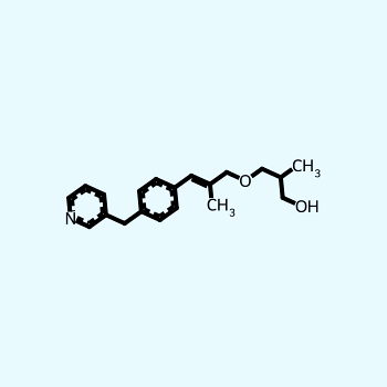 C/C(=C\c1ccc(Cc2cccnc2)cc1)COCC(C)CO